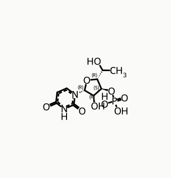 CC(O)[C@H]1O[C@@H](n2ccc(=O)[nH]c2=O)[C@H](O)[C@@H]1OP(=O)(O)O